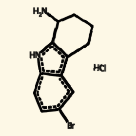 Cl.NC1CCCc2c1[nH]c1ccc(Br)cc21